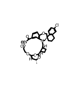 C[C@@H]1C[C@H]2C[C@H](O1)[C@@H]1CC[C@H]1CN1C[C@@]3(CCCc4cc(Cl)ccc43)COc3ccc(cc31)C(=O)NS(=O)(=O)CCO2